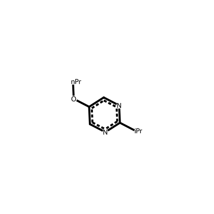 CCCOc1cnc(C(C)C)nc1